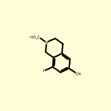 N#Cc1cc(F)c2c(c1)CCN(C(=O)O)C2